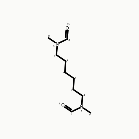 CN([C]=O)CCCCCCN(C)[C]=O